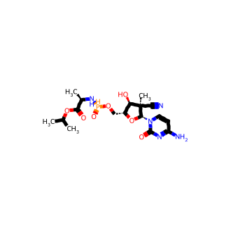 CC(C)OC(=O)[C@@H](C)N[PH](=O)OC[C@H]1O[C@@H](n2ccc(N)nc2=O)[C@](C)(C#N)[C@@H]1O